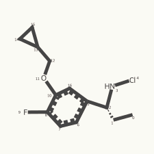 CC[C@@H](NCl)c1ccc(F)c(OCC2CC2)c1